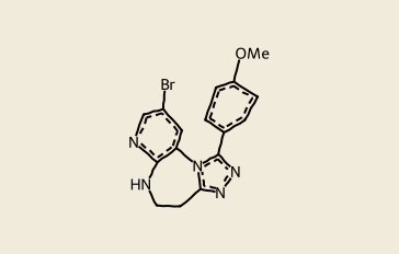 COc1ccc(-c2nnc3n2-c2cc(Br)cnc2NCC3)cc1